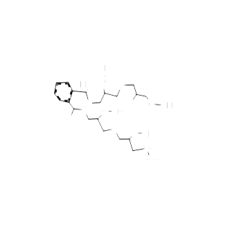 COCC(COCC(COC(O)c1ccccc1[C@@H](O)OCC(COCC(COC)OC)OC)OC)OC